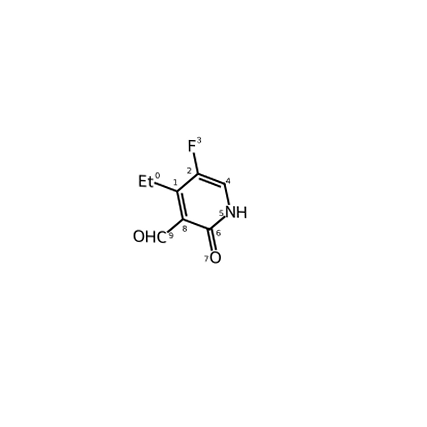 CCc1c(F)c[nH]c(=O)c1C=O